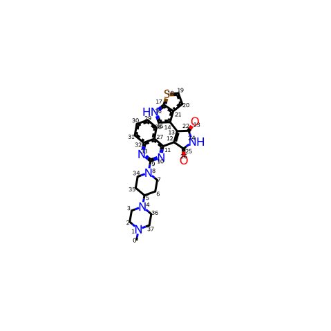 CN1CCN(C2CCN(c3nc(C4=C(c5c[nH]c6sccc56)C(=O)NC4=O)c4ccccc4n3)CC2)CC1